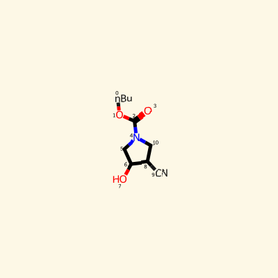 CCCCOC(=O)N1CC(O)C(C#N)C1